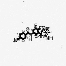 CN1C(=N)N[C@](C)(c2c(F)c(F)cc(NC(=O)c3ccc(C#N)cc3)c2F)CS1(=O)=O